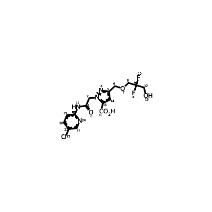 O=C(Cn1nc(COCC(F)(F)CO)cc1C(=O)O)Nc1ccc(Cl)cn1